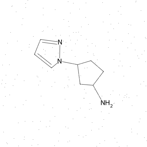 NC1CCC(n2cccn2)C1